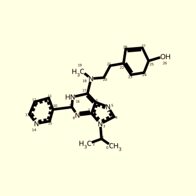 CC(C)n1cnc2c1=NC(c1cccnc1)NC=2N(C)CCC1=CCC(O)C=C1